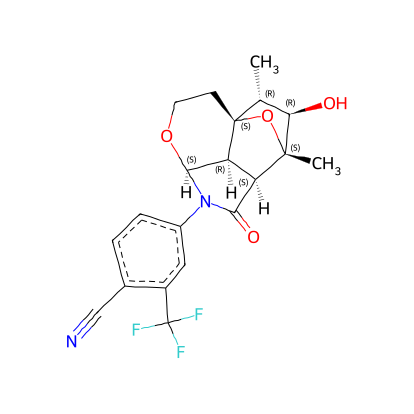 C[C@@H]1[C@@H](O)[C@@]2(C)O[C@@]13CCO[C@H]1[C@@H]3[C@@H]2C(=O)N1c1ccc(C#N)c(C(F)(F)F)c1